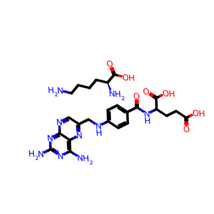 NCCCC[C@H](N)C(=O)O.Nc1nc(N)c2nc(CNc3ccc(C(=O)NC(CCC(=O)O)C(=O)O)cc3)cnc2n1